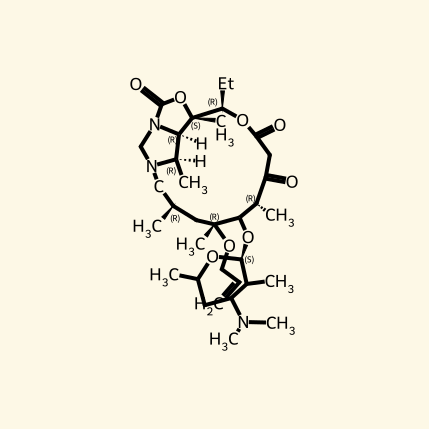 C=CCO[C@]1(C)C[C@@H](C)CN2CN3C(=O)O[C@](C)([C@@H](CC)OC(=O)CC(=O)[C@H](C)C1O[C@@H]1OC(C)CC(N(C)C)C1C)[C@H]3[C@H]2C